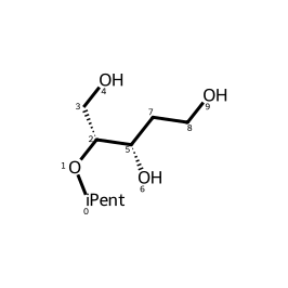 CCCC(C)O[C@H](CO)[C@@H](O)CCO